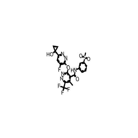 Cc1c(C(F)(F)F)nnc(Oc2nnc(C3(O)CC3)cc2F)c1C(=O)Nc1cccc(S(C)(=O)=O)c1